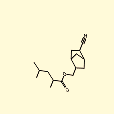 CC(C)CC(C)C(=O)OCC1CC2CC1CC2C#N